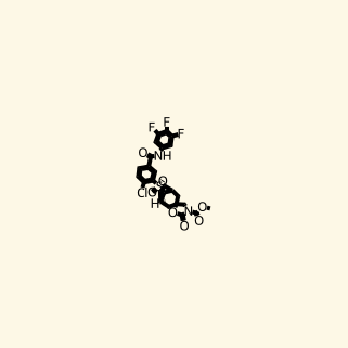 COC(=O)N1CC2(CC3CC[C@H](C2)C3S(=O)(=O)c2cc(C(=O)Nc3cc(F)c(F)c(F)c3)ccc2Cl)OC1=O